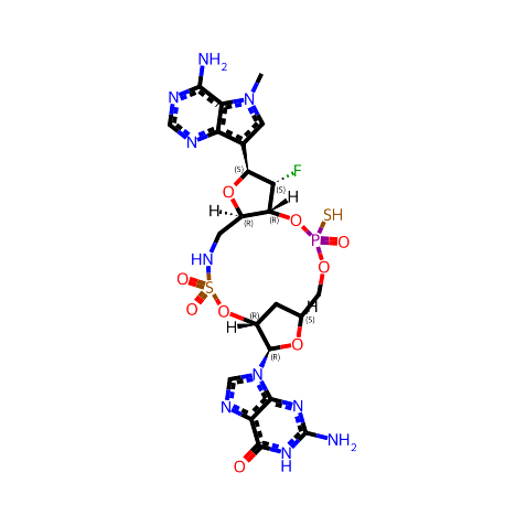 Cn1cc([C@@H]2O[C@@H]3CNS(=O)(=O)O[C@@H]4C[C@@H](COP(=O)(S)O[C@H]3[C@H]2F)O[C@H]4n2cnc3c(=O)[nH]c(N)nc32)c2ncnc(N)c21